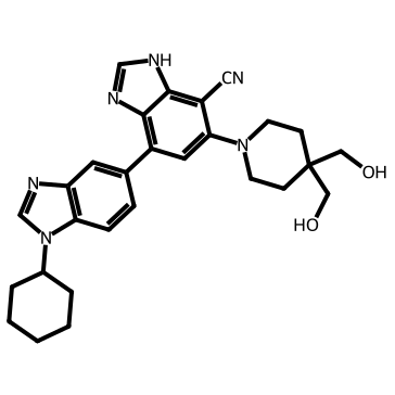 N#Cc1c(N2CCC(CO)(CO)CC2)cc(-c2ccc3c(c2)ncn3C2CCCCC2)c2nc[nH]c12